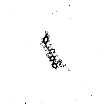 CP(C)(=O)c1ccccc1-c1cc(F)c(N2CCC[C@@H](NC(=O)Nc3ccc(Cl)cc3F)C2=O)c(F)c1